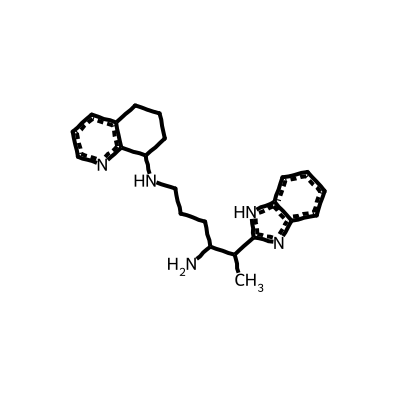 CC(c1nc2ccccc2[nH]1)C(N)CCCNC1CCCc2cccnc21